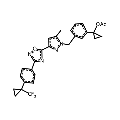 CC(=O)OC1(c2cccc(Cn3nc(-c4nc(-c5ccc(C6(C(F)(F)F)CC6)cc5)no4)cc3C)c2)CC1